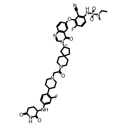 CCN(C)S(=O)(=O)Nc1ccc(F)c(Oc2ccc3ncn([C@H]4CCC5(CCN(C(=O)CN6CCC(c7ccc(NC8CCC(=O)NC8=O)cc7F)CC6)CC5)C4)c(=O)c3c2)c1C#N